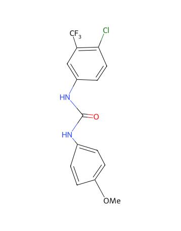 COc1ccc(NC(=O)Nc2ccc(Cl)c(C(F)(F)F)c2)cc1